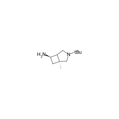 CC(C)(C)N1CC2[C@H](N)C[C@]2(C)C1